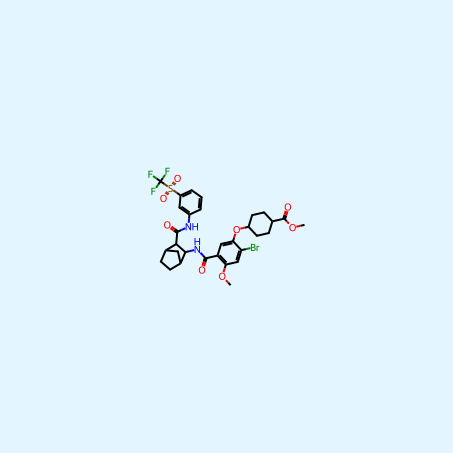 COC(=O)C1CCC(Oc2cc(C(=O)NC3C4CCC(C4)C3C(=O)Nc3cccc(S(=O)(=O)C(F)(F)F)c3)c(OC)cc2Br)CC1